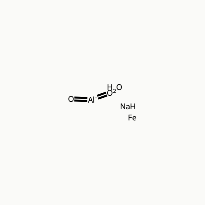 O.[Fe].[NaH].[O]=[Al-]=[O]